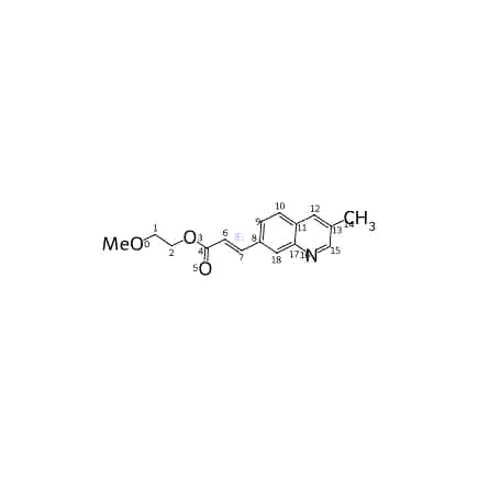 COCCOC(=O)/C=C/c1ccc2cc(C)cnc2c1